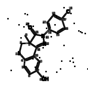 CC12CSc3ccc(O)cc3C1=NN(c1ccc(Cl)cc1)C2=O